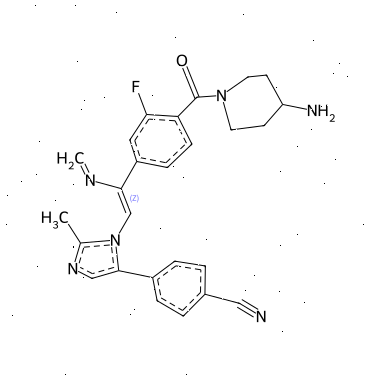 C=N/C(=C\n1c(-c2ccc(C#N)cc2)cnc1C)c1ccc(C(=O)N2CCC(N)CC2)c(F)c1